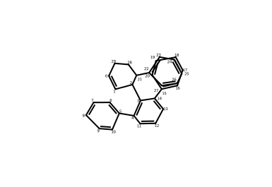 C1=CC(c2c(-c3ccccc3)cccc2-c2ccccc2)C(c2ccccc2)CC1